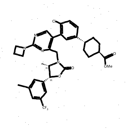 COC(=O)[C@H]1CC[C@H](c2ccc(Cl)c(-c3cnc(N4CCC4)nc3CN3C(=O)O[C@H](c4cc(C)cc(C(F)(F)F)c4)[C@@H]3C)c2)CC1